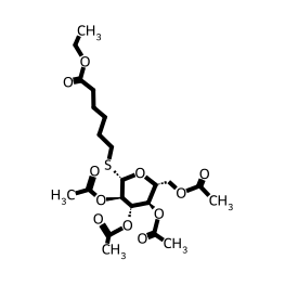 CCOC(=O)CCCCCS[C@@H]1O[C@H](COC(C)=O)[C@@H](OC(C)=O)[C@H](OC(C)=O)[C@H]1OC(C)=O